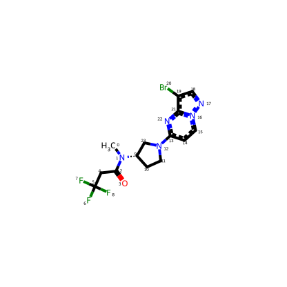 CN(C(=O)CC(F)(F)F)[C@H]1CCN(c2ccn3ncc(Br)c3n2)C1